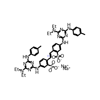 CCN(CC)c1nc(Nc2ccc(C)cc2)nc(Nc2ccc(/C=C/c3ccc(Nc4nc(Nc5ccc(C)cc5)nc(N(CC)CC)n4)cc3S(=O)(=O)[O-])c(S(=O)(=O)[O-])c2)n1.[Na+].[Na+]